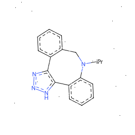 CC(C)N1Cc2ccccc2-c2nn[nH]c2-c2ccccc21